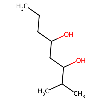 CCCC(O)CC(O)C(C)C